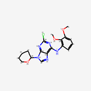 COc1cccc(Nc2nc(Cl)nc3c2ncn3C2CCCCO2)c1OC